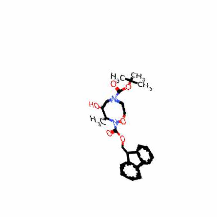 CC1[C@@H](O)CN(C(=O)OC(C)(C)C)CCON1C(=O)OCC1c2ccccc2-c2ccccc21